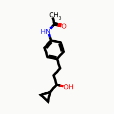 CC(=O)Nc1ccc(CCC(O)C2CC2)cc1